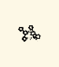 CC1(C)C2=CCCC=C2c2cc3c4ccccc4n(-c4cc(-c5ccccc5)cc(-c5ccccc5)c4)c3cc21